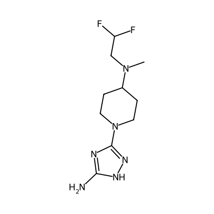 CN(CC(F)F)C1CCN(c2n[nH]c(N)n2)CC1